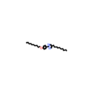 C=CCCCCCCCCOc1ccc(-c2ncc(CCCCCCCCCC)cn2)cc1